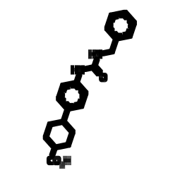 O=C(NCc1ccccc1)Nc1ccc(C2CCC(C(=O)O)CC2)cc1